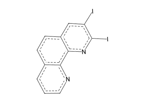 Ic1cc2ccc3cccnc3c2nc1I